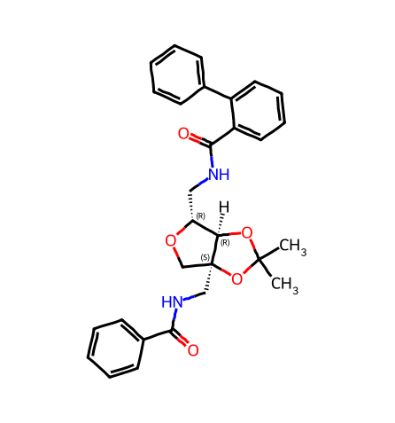 CC1(C)O[C@@H]2[C@@H](CNC(=O)c3ccccc3-c3ccccc3)OC[C@]2(CNC(=O)c2ccccc2)O1